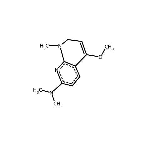 COC1=CCN(C)c2nc(N(C)C)ccc21